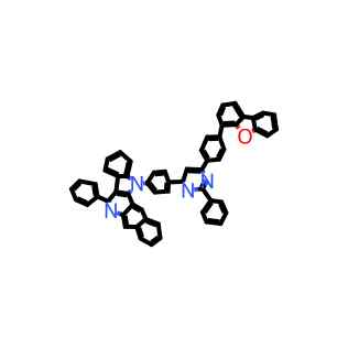 c1ccc(-c2nc(-c3ccc(-c4cccc5c4oc4ccccc45)cc3)cc(-c3ccc(-n4c5ccccc5c5c(-c6ccccc6)nc6cc7ccccc7cc6c54)cc3)n2)cc1